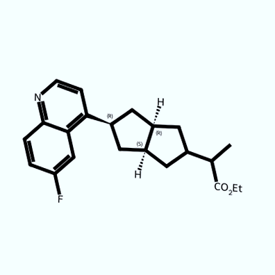 CCOC(=O)C(C)C1C[C@@H]2C[C@H](c3ccnc4ccc(F)cc34)C[C@@H]2C1